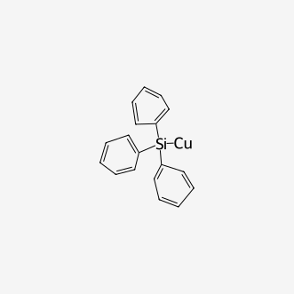 [Cu][Si](c1ccccc1)(c1ccccc1)c1ccccc1